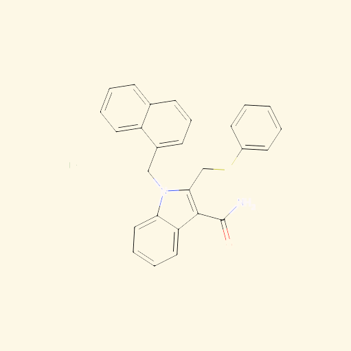 Cl.NC(=O)c1c(CSc2ccccc2)n(Cc2cccc3ccccc23)c2ccccc12